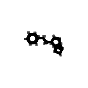 C1=CC2C3=CC(C3)C2C1OCc1ccccc1